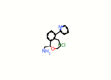 Cl.NC[C@@H]1OCCCc2c(-c3ccccn3)cccc21